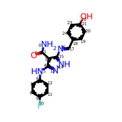 NC(=O)c1c(Nc2ccc(F)cc2)n[nH]c1/N=C/c1ccc(O)cc1